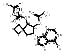 CC(=O)OC[C@H]1CC[C@@]12C[C@@H](n1cnc3c(Cl)ncnc31)C(OC(C)=O)C2OC(C)=O